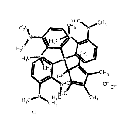 CC1=C(C)[C]([Ti+3])([Si](c2cccc(N(C)C)c2N(C)C)(c2cccc(N(C)C)c2N(C)C)c2cccc(N(C)C)c2N(C)C)C(C)=C1C.[Cl-].[Cl-].[Cl-]